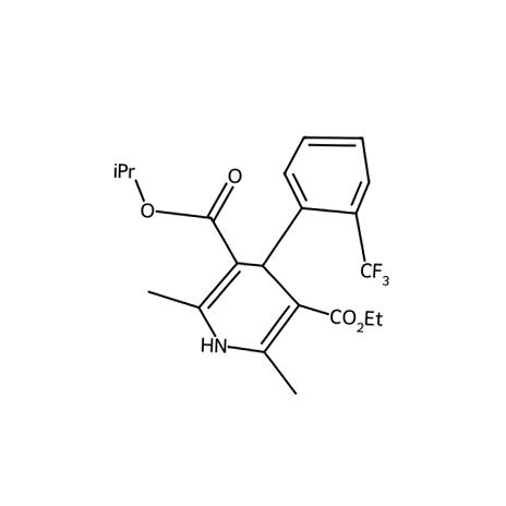 CCOC(=O)C1=C(C)NC(C)=C(C(=O)OC(C)C)C1c1ccccc1C(F)(F)F